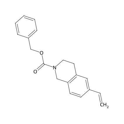 C=Cc1ccc2c(c1)CCN(C(=O)OCc1ccccc1)C2